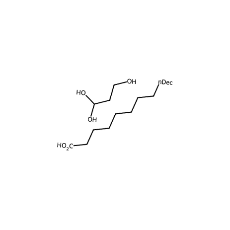 CCCCCCCCCCCCCCCCCC(=O)O.OCCC(O)O